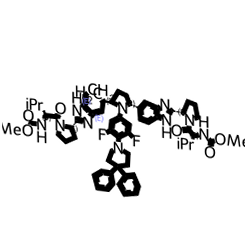 C=C(/C=c1/nc([C@@H]2CCCN2C(=O)[C@@H](NC(=O)OC)C(C)C)[nH]/c1=C/C)[C@H]1CC[C@H](c2ccc3[nH]c([C@@H]4CCCN4C(=O)[C@@H](NC(=O)OC)C(C)C)nc3c2)N1c1cc(F)c(N2CCC(c3ccccc3)(c3ccccc3)CC2)c(F)c1